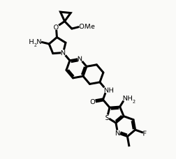 COCC1(OC2CN(c3ccc4c(n3)CCC(NC(=O)c3sc5nc(C)c(F)cc5c3N)C4)CC2N)CC1